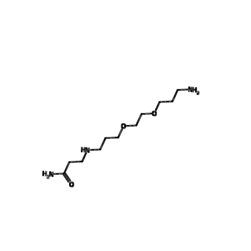 NCCCOCCOCCCNCCC(N)=O